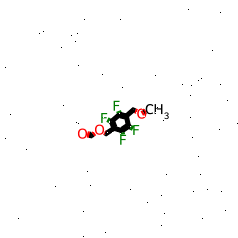 COCc1c(F)c(F)c(COC=O)c(F)c1F